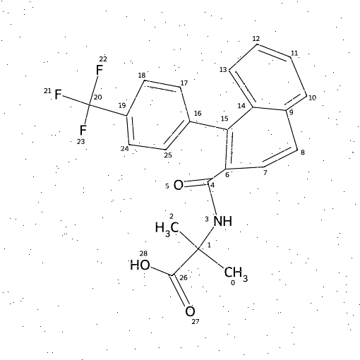 CC(C)(NC(=O)c1ccc2ccccc2c1-c1ccc(C(F)(F)F)cc1)C(=O)O